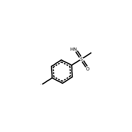 [CH2]c1ccc(S(C)(=N)=O)cc1